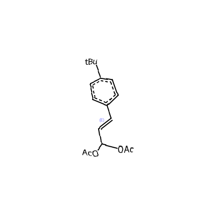 CC(=O)OC(/C=C/c1ccc(C(C)(C)C)cc1)OC(C)=O